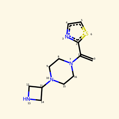 C=C(c1nccs1)N1CCN(C2CNC2)CC1